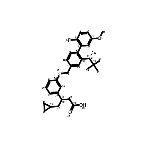 COc1ccc(F)c(-c2ccc(COc3cccc([C@@H](CC(=O)O)CC4CC4)c3)cc2[C@H](C)C(C)(C)C)c1